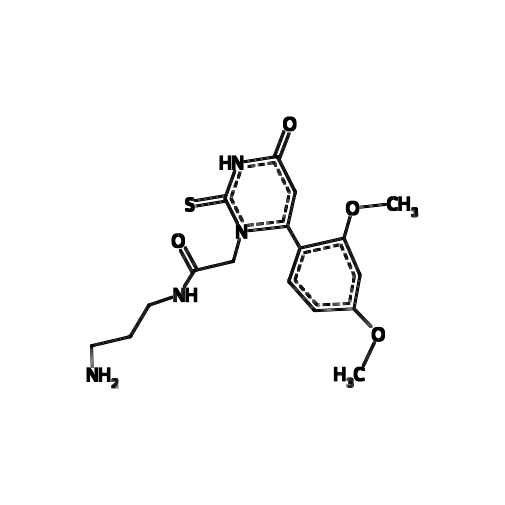 COc1ccc(-c2cc(=O)[nH]c(=S)n2CC(=O)NCCCN)c(OC)c1